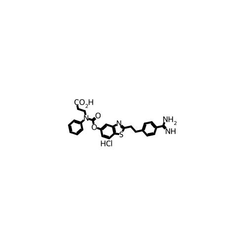 Cl.N=C(N)c1ccc(CCc2nc3cc(OC(=O)N(CCC(=O)O)c4ccccc4)ccc3s2)cc1